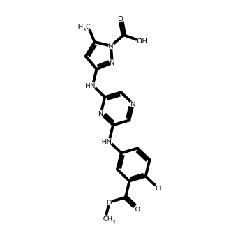 COC(=O)c1cc(Nc2cncc(Nc3cc(C)n(C(=O)O)n3)n2)ccc1Cl